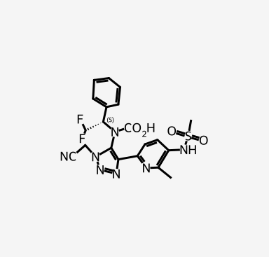 Cc1nc(-c2nnn(CC#N)c2N(C(=O)O)[C@@H](c2ccccc2)C(F)F)ccc1NS(C)(=O)=O